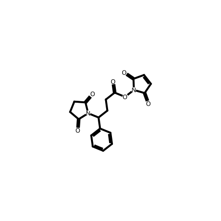 O=C(CCC(c1ccccc1)N1C(=O)CCC1=O)ON1C(=O)C=CC1=O